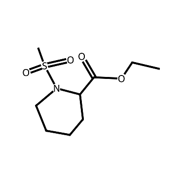 CCOC(=O)C1CCCCN1S(C)(=O)=O